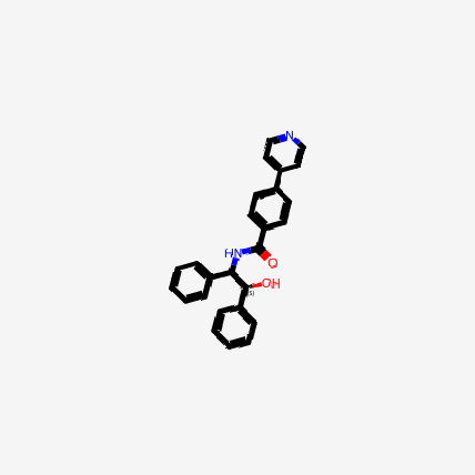 O=C(NC(c1ccccc1)[C@@H](O)c1ccccc1)c1ccc(-c2ccncc2)cc1